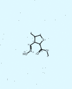 COC(=O)C1SCC(C)C1C=NO